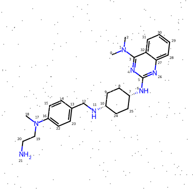 CN(C)c1nc(N[C@H]2CC[C@@H](NCc3ccc(N(C)CCN)cc3)CC2)nc2ccccc12